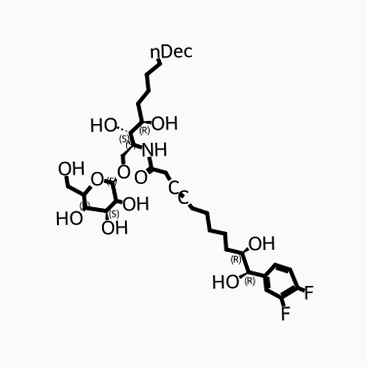 CCCCCCCCCCCCCC[C@@H](O)[C@@H](O)[C@H](CO[C@H]1OC(CO)[C@H](O)[C@H](O)C1O)NC(=O)CCCCCCCC[C@@H](O)[C@H](O)c1ccc(F)c(F)c1